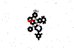 Cc1cc(C)c(C2=C\CC3=C(SC/C=C\2)B2c4cc5c(cc4N(c4ccc(C(C)(C)C)cc4-c4ccccc4)c4cc(C)cc(c42)N3c2ccccc2)C(C)(C)CCC5(C)C)c(C)c1